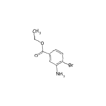 CCOC(=O)c1ccc(Br)c(N)c1